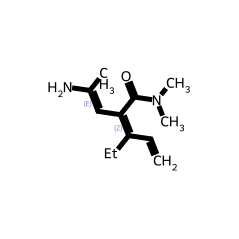 C=C/C(CC)=C(/C=C(\C)N)C(=O)N(C)C